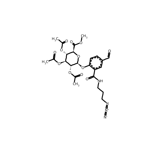 COC(=O)[C@H]1O[C@@H](Oc2ccc(C=O)cc2C(=O)NCCCN=[N+]=[N-])[C@H](OC(C)=O)[C@@H](OC(C)=O)[C@@H]1OC(C)=O